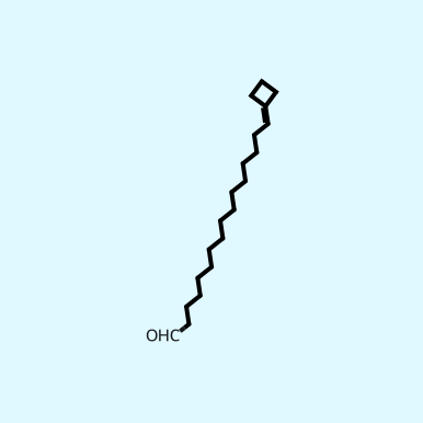 O=CCCCCCCCCCCCCCCC=C1CCC1